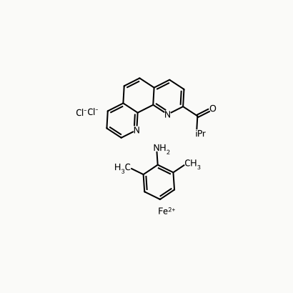 CC(C)C(=O)c1ccc2ccc3cccnc3c2n1.Cc1cccc(C)c1N.[Cl-].[Cl-].[Fe+2]